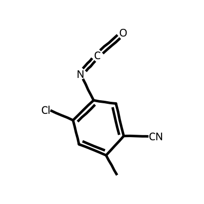 Cc1cc(Cl)c(N=C=O)cc1C#N